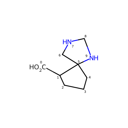 O=C(O)C1CCCC12CNCN2